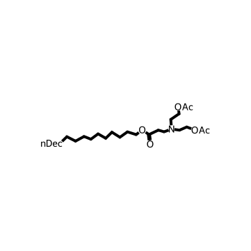 CCCCCCCCCCCCCCCCCCCCOC(=O)CCN(CCOC(C)=O)CCOC(C)=O